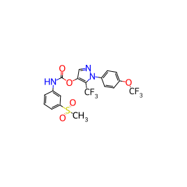 CS(=O)(=O)c1cccc(NC(=O)Oc2cnn(-c3ccc(OC(F)(F)F)cc3)c2C(F)(F)F)c1